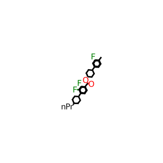 CCCC1CCC(c2ccc(C(=O)OC3CCC(c4ccc(C)c(F)c4)CC3)c(F)c2F)CC1